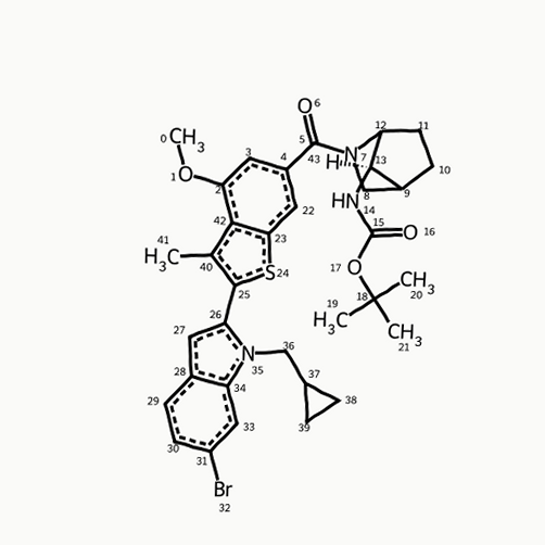 COc1cc(C(=O)N2CC3CCC2[C@@H]3NC(=O)OC(C)(C)C)cc2sc(-c3cc4ccc(Br)cc4n3CC3CC3)c(C)c12